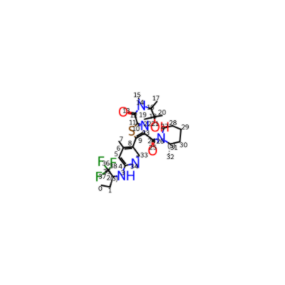 CC[C@H](Nc1cc(C)c(-c2sc(C(=O)N(C)C(C)C(C)(C)O)nc2C(=O)N2CCCC[C@@H]2C)cn1)C(F)(F)F